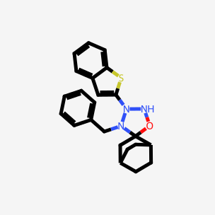 c1ccc(CN2N(c3cc4ccccc4s3)NOC23CC2CCC3CC2)cc1